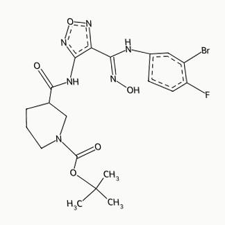 CC(C)(C)OC(=O)N1CCCC(C(=O)Nc2nonc2C(=NO)Nc2ccc(F)c(Br)c2)C1